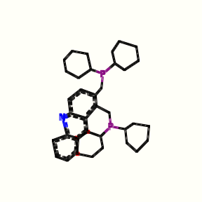 c1ccc2nc3ccc(CP(C4CCCCC4)C4CCCCC4)c(CP(C4CCCCC4)C4CCCCC4)c3cc2c1